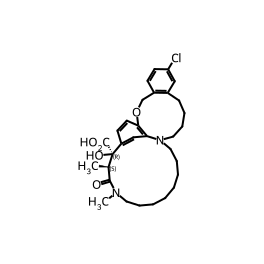 C[C@@H]1C(=O)N(C)CCCCCCCCN2CCCCc3cc(Cl)ccc3COc3ccc(cc32)[C@@]1(O)C(=O)O